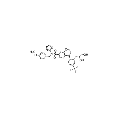 COc1ccc(CN(c2nccs2)S(=O)(=O)c2ccc3c(c2)OCCN3c2ccc(C(F)(F)F)cc2C[C@H](O)CO)cc1